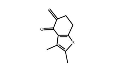 C=C1CCc2sc(C)c(C)c2C1=O